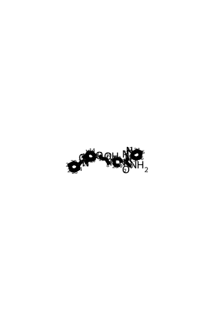 NC(=O)C(N1CCN(C[C@@H](O)COc2ccc3oc(-c4ccccc4)nc3c2)CC1)n1nnc2ccccc21